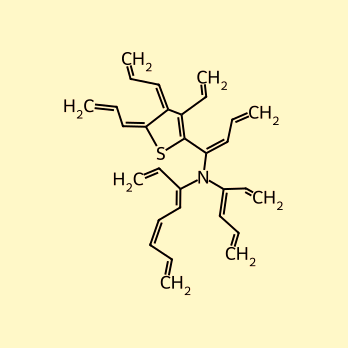 C=C/C=C\C=C(/C=C)N(/C(C=C)=C/C=C)/C(=C/C=C)c1sc(=C/C=C)/c(=C\C=C)c1C=C